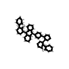 c1ccc(-c2cccc3oc4ccccc4c23)c(-c2ccc(-c3c4ccccc4c(-c4cccc5c4oc4ccccc45)c4ccccc34)cc2)c1